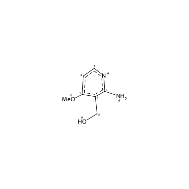 COc1ccnc(N)c1CO